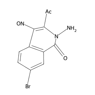 CC(=O)c1c(N=O)c2ccc(Br)cc2c(=O)n1N